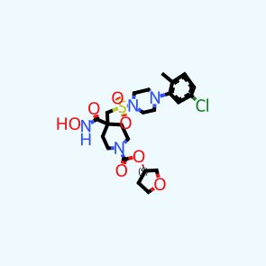 Cc1ccc(Cl)cc1N1CCN(S(=O)(=O)CC2(C(=O)NO)CCN(C(=O)O[C@H]3CCOC3)CC2)CC1